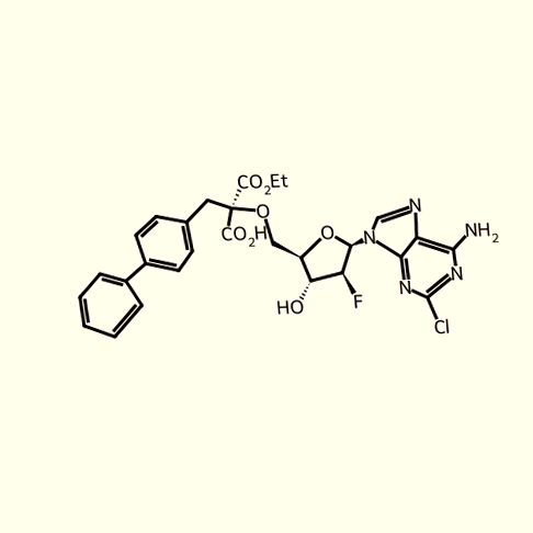 CCOC(=O)[C@](Cc1ccc(-c2ccccc2)cc1)(OC[C@H]1O[C@@H](n2cnc3c(N)nc(Cl)nc32)[C@@H](F)[C@@H]1O)C(=O)O